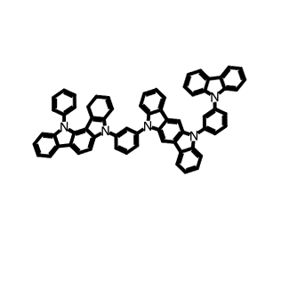 C1=Cc2c(c3c(ccc4c5ccccc5n(-c5ccccc5)c43)n2-c2cccc(-n3c4ccccc4c4cc5c(cc43)c3ccccc3n5-c3cccc(-n4c5ccccc5c5ccccc54)c3)c2)CC1